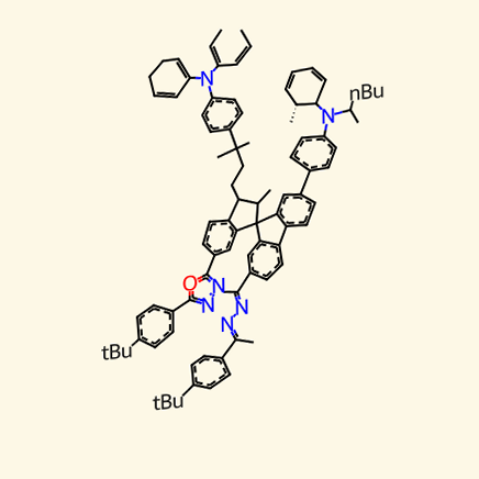 C/C=C\C(=C/C)N(C1=CCCC=C1)c1ccc(C(C)(C)CCC2c3ccc(-c4nnc(-c5ccc(C(C)(C)C)cc5)o4)cc3C3(c4cc(/C(C)=N/N=C(\C)c5ccc(C(C)(C)C)cc5)ccc4-c4ccc(-c5ccc(N(C(C)CCCC)C6C=CC=C[C@H]6C)cc5)cc43)C2C)cc1